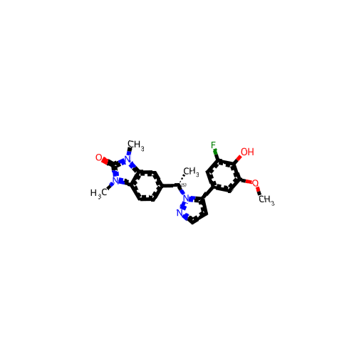 COc1cc(-c2ccnn2[C@@H](C)c2ccc3c(c2)n(C)c(=O)n3C)cc(F)c1O